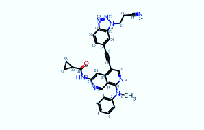 CN(c1ccccc1)c1ncc(C#Cc2ccc3nnn(CCC#N)c3c2)c2cc(NC(=O)C3CC3)ncc12